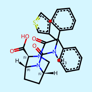 CN(Cc1ccsc1)C(=O)N1[C@H]2CC[C@@H]1[C@@H](C(=O)O)N(C(=O)C(c1ccccc1)c1ccccc1)C2